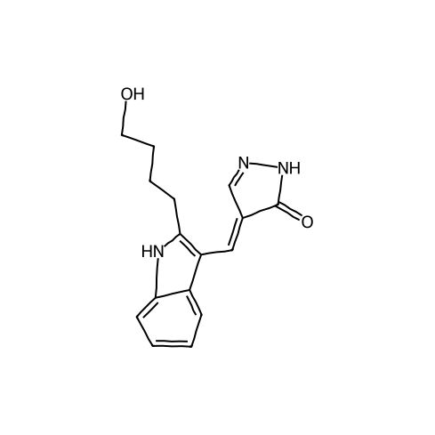 O=C1NN=CC1=Cc1c(CCCCO)[nH]c2ccccc12